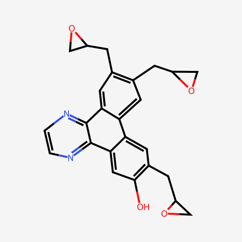 Oc1cc2c(cc1CC1CO1)c1cc(CC3CO3)c(CC3CO3)cc1c1nccnc21